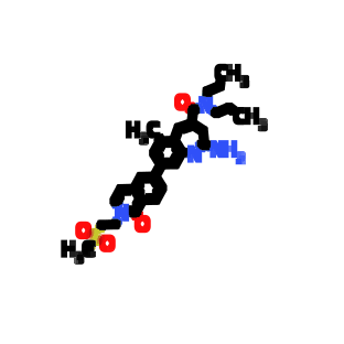 CCCN(CCC)C(=O)C1=Cc2c(C)cc(-c3ccc4c(=O)n(CCS(C)(=O)=O)ccc4c3)cc2N=C(N)C1